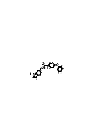 O=C(NCc1ccc2cc[nH]c2c1)c1ccc(Oc2ccccc2)nc1